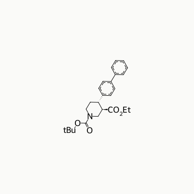 CCOC(=O)[C@H]1CN(C(=O)OC(C)(C)C)CC[C@@H]1c1ccc(-c2ccccc2)cc1